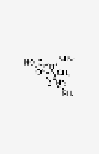 Cc1c(N2CC[C@@H](N)C2)c(F)cc2c(=O)c(C(=O)O)cn(CCC=O)c12